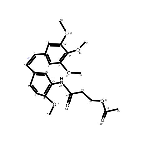 COc1ccc(/C=C\c2cc(OC)c(OC)c(OC)c2)cc1NC(=O)CCOC(C)=O